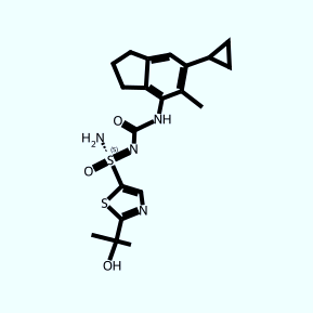 Cc1c(C2CC2)cc2c(c1NC(=O)N=[S@](N)(=O)c1cnc(C(C)(C)O)s1)CCC2